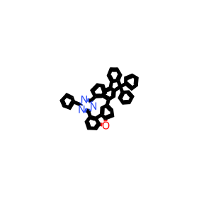 c1ccc(-c2nc(-c3ccccc3)nc(-c3cccc4oc5ccc(-c6ccc7c(c6)C(c6ccccc6)(c6ccccc6)c6ccccc6-7)cc5c34)n2)cc1